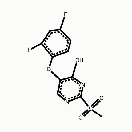 CS(=O)(=O)c1ncc(Oc2ccc(F)cc2F)c(O)n1